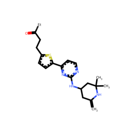 C=C1CC(Nc2nccc(-c3ccc(CCC(=O)CC)s3)n2)CC(C)(C)N1